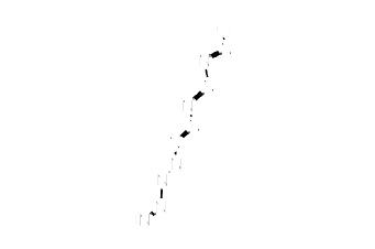 CN=NN=NN=NN=NN=N